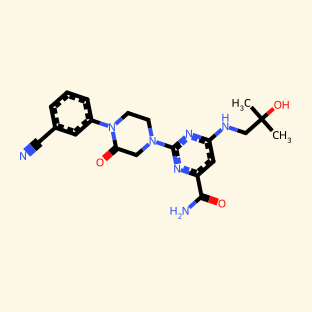 CC(C)(O)CNc1cc(C(N)=O)nc(N2CCN(c3cccc(C#N)c3)C(=O)C2)n1